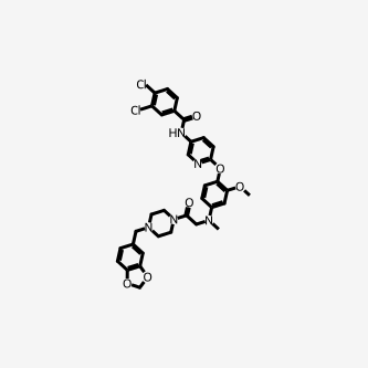 COc1cc(N(C)CC(=O)N2CCN(Cc3ccc4c(c3)OCO4)CC2)ccc1Oc1ccc(NC(=O)c2ccc(Cl)c(Cl)c2)cn1